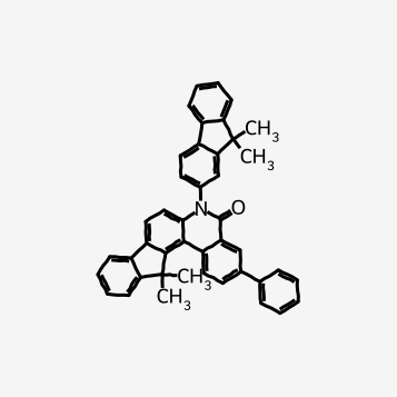 CC1(C)c2ccccc2-c2ccc(-n3c(=O)c4cc(-c5ccccc5)ccc4c4c5c(ccc43)-c3ccccc3C5(C)C)cc21